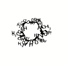 CCCCCCCCCC[C@H]1OC(=O)[C@@H](C)NC(=O)[C@H]([C@H](C)O)NC(=O)[C@H](CN)NC(=O)[C@H]([C@@H](C)CC)NC(=O)[C@H](CC(C)C)N(C)C(=O)[C@@H]1C